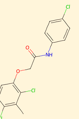 Cc1c(Cl)ccc(OCC(=O)Nc2ccc(Cl)cc2)c1Cl